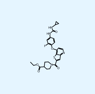 CCOC(=O)C1CCN(C(=O)c2cc3nccc(Oc4ccc(NC(=O)NC5CC5)cc4F)c3s2)CC1